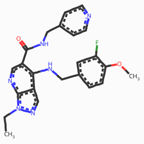 CCn1ncc2c(NCc3ccc(OC)c(F)c3)c(C(=O)NCc3ccncc3)cnc21